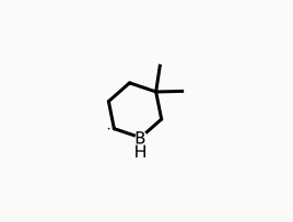 CC1(C)CB[CH]CC1